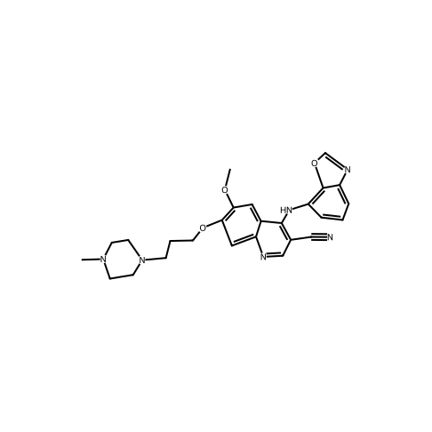 COc1cc2c(Nc3cccc4ncoc34)c(C#N)cnc2cc1OCCCN1CCN(C)CC1